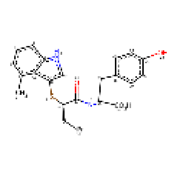 Cc1cccc2[nH]cc(S[C@H](CC(C)C)C(=O)NC(Cc3ccc(O)cc3)C(=O)O)c12